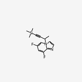 CC(C#C[Si](C)(C)C)[N+]12C=CN=C1C(F)=CC(F)=C2